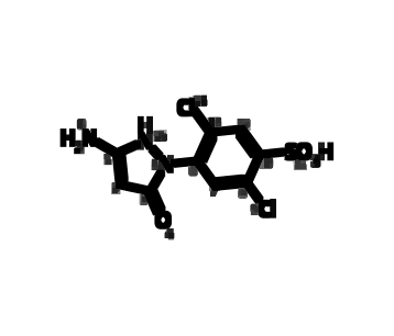 Nc1cc(=O)n(-c2cc(Cl)c(S(=O)(=O)O)cc2Cl)[nH]1